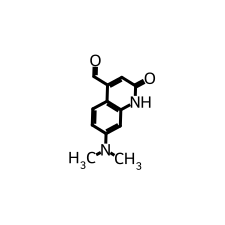 CN(C)c1ccc2c(C=O)cc(=O)[nH]c2c1